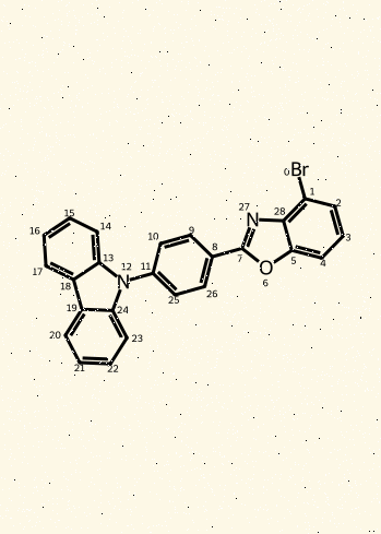 Brc1cccc2oc(-c3ccc(-n4c5ccccc5c5ccccc54)cc3)nc12